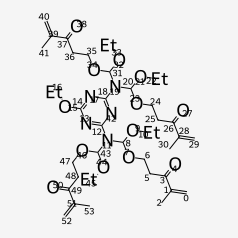 C=C(C)C(=O)CCOC(OCC)N(c1nc(OCC)nc(N(C(OCC)OCCC(=O)C(=C)C)C(OCC)OCCC(=O)C(=C)C)n1)C(OCC)OCCC(=O)C(=C)C